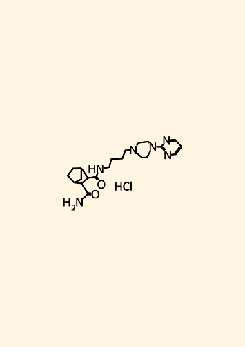 Cl.NC(=O)C1C2CCC(C2)C1C(=O)NCCCCN1CCN(c2ncccn2)CC1